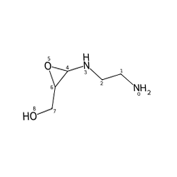 NCCNC1OC1CO